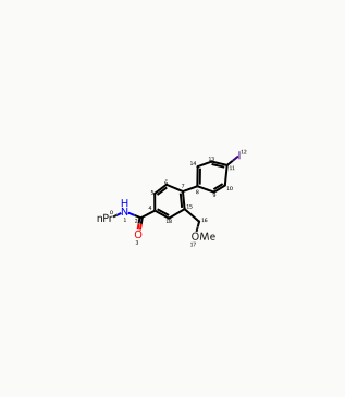 CCCNC(=O)c1ccc(-c2ccc(I)cc2)c(COC)c1